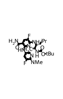 CNc1ncc(Nc2nc(N[C@H](CC(C)C)[C@H](C)NC(=O)OC(C)(C)C)c(F)cc2C(N)=O)cc1F